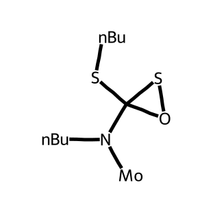 CCCCSC1([N]([Mo])CCCC)OS1